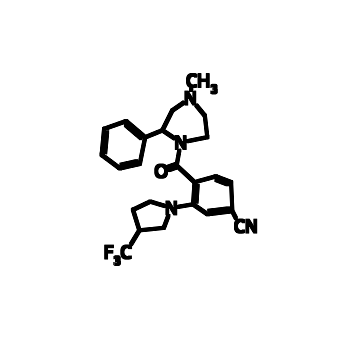 CN1CCN(C(=O)c2ccc(C#N)cc2N2CCC(C(F)(F)F)C2)C(c2ccccc2)C1